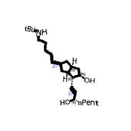 CCCCC[C@H](O)/C=C/[C@@H]1[C@H]2C/C(=C/CCCCNC(C)(C)C)C[C@H]2C[C@H]1O